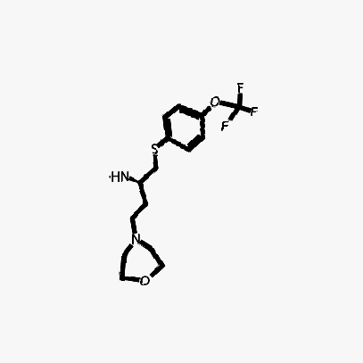 [NH][C@H](CCN1CCOCC1)CSc1ccc(OC(F)(F)F)cc1